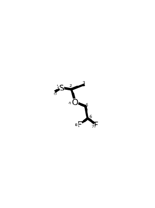 CSC(C)OCC(F)F